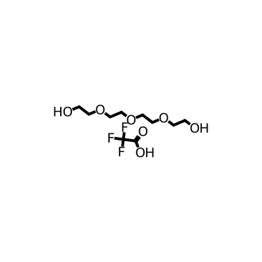 O=C(O)C(F)(F)F.OCCOCCOCCOCCO